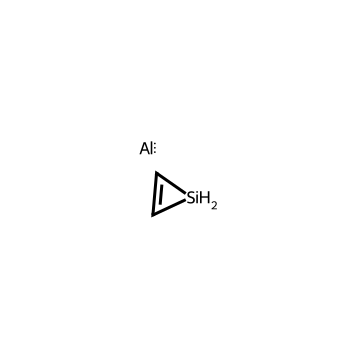 C1=C[SiH2]1.[Al]